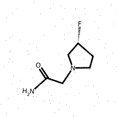 NC(=O)CN1CC[C@@H](F)C1